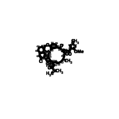 COc1nn(C)cc1C(=O)NS1(=O)=NC(=O)c2ccc3c(c2)N(C[C@@H]2CC[C@H]2[C@](O)(CC(=O)N(C)C)/C=C/C[C@H](C)C1)C[C@@]1(CCCc2cc(Cl)ccc21)CO3